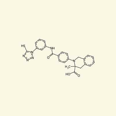 CC1(C(=O)O)Cc2ccccc2CN1c1ccc(C(=O)Nc2cccc(-n3nnnc3S)c2)cc1